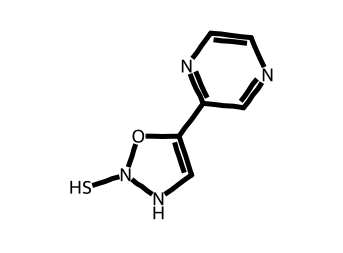 SN1NC=C(c2cnccn2)O1